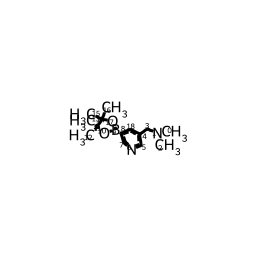 CN(C)Cc1cncc(B2OC(C)(C)C(C)(C)O2)c1